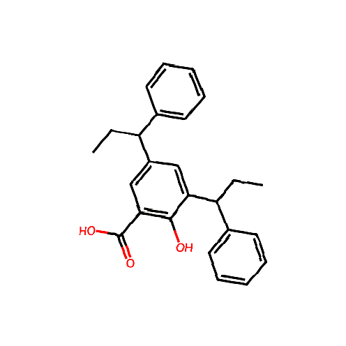 CCC(c1ccccc1)c1cc(C(=O)O)c(O)c(C(CC)c2ccccc2)c1